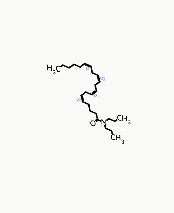 CCCCC/C=C\C/C=C\C/C=C\C/C=C\CCCC(=O)N(CCC)CCC